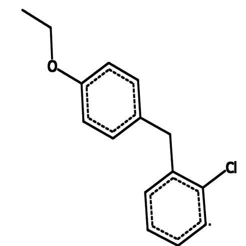 CCOc1ccc(Cc2ccc[c]c2Cl)cc1